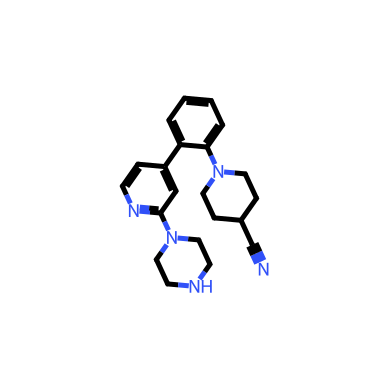 N#CC1CCN(c2ccccc2-c2ccnc(N3CCNCC3)c2)CC1